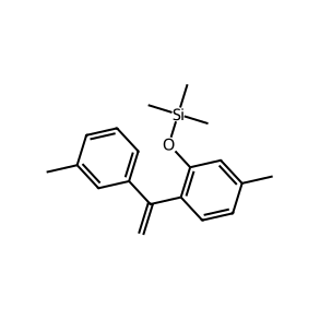 C=C(c1cccc(C)c1)c1ccc(C)cc1O[Si](C)(C)C